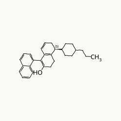 CCCC1CCC([C@@H]2CC=CC3=C2CCC(O)=C3c2cccc3ccccc23)CC1